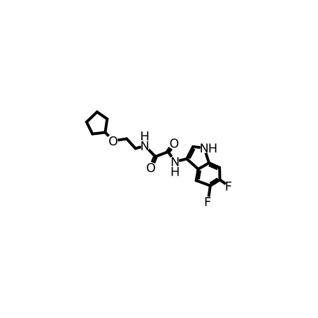 O=C(NCCOC1CCCC1)C(=O)Nc1c[nH]c2cc(F)c(F)cc12